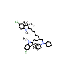 CN1C(=CC=CCC/C(C=CC2=[N+](C)c3ccc(Cl)cc3C2(C)C)=C/N(c2ccccc2)c2ccccc2)C(C)(C)c2cc(Cl)ccc21